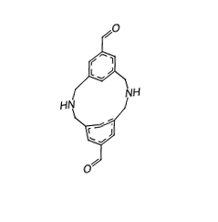 O=Cc1cc2cc(c1)CNCc1cc(C=O)cc(c1)CNC2